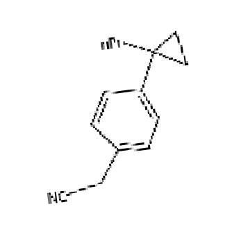 CCCC1(c2ccc(CC#N)cc2)CC1